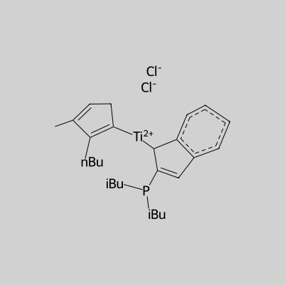 CCCCC1=[C]([Ti+2][CH]2C(P(C(C)CC)C(C)CC)=Cc3ccccc32)CC=C1C.[Cl-].[Cl-]